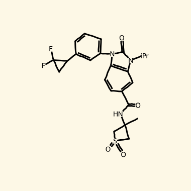 CC(C)n1c(=O)n(-c2cccc(C3CC3(F)F)c2)c2ccc(C(=O)NC3(C)CS(=O)(=O)C3)cc21